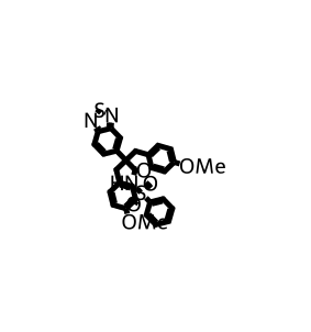 COc1ccc(CC(Cc2ccc(OC)cc2)(C(=O)NS(=O)(=O)c2ccccc2)c2ccc3nsnc3c2)cc1